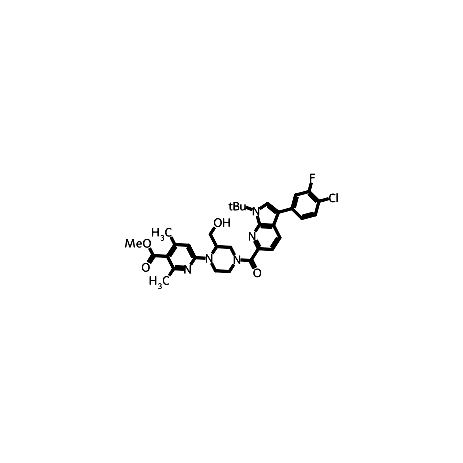 COC(=O)c1c(C)cc(N2CCN(C(=O)c3ccc4c(-c5ccc(Cl)c(F)c5)cn(C(C)(C)C)c4n3)CC2CO)nc1C